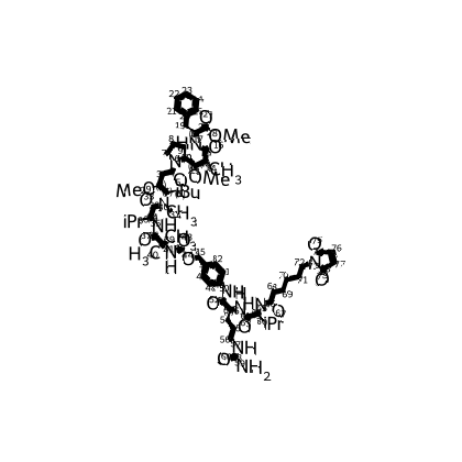 CC[C@H](C)[C@@H]([C@@H](CC(=O)N1CCC[C@H]1[C@H](OC)[C@@H](C)C(=O)N[C@@H](Cc1ccccc1)C(=O)OC)OC)N(C)C(=O)[C@@H](NC(=O)C(C)(C)NC(=O)OCc1ccc(NC(=O)[C@H](CCCNC(N)=O)NC(=O)[C@@H](NC(=O)CCCCCN2C(=O)C=CC2=O)C(C)C)cc1)C(C)C